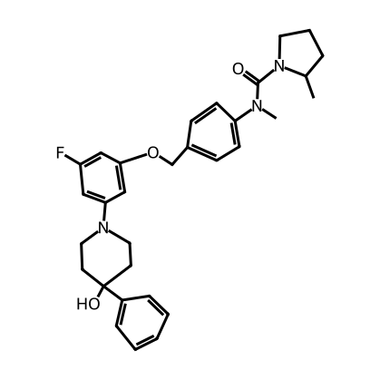 CC1CCCN1C(=O)N(C)c1ccc(COc2cc(F)cc(N3CCC(O)(c4ccccc4)CC3)c2)cc1